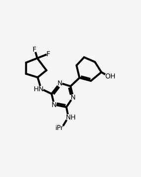 CC(C)Nc1nc(NC2CCC(F)(F)C2)nc(C2=CC(O)CCC2)n1